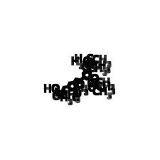 COc1cc(/C=C(\C)C(=O)O)cc2cc(-c3cc(O[Si](C)(C)C(C)(C)C)cc(O[Si](C)(C)C(C)(C)C)c3)oc12